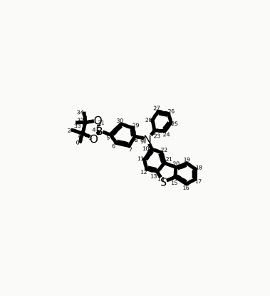 CC1(C)OB(c2ccc(N(c3ccc4sc5ccccc5c4c3)C3C=CC=CC3)cc2)OC1(C)C